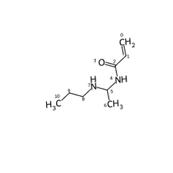 C=CC(=O)NC(C)NCCC